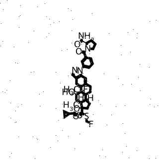 C[C@]12Cc3cnn(-c4cccc(C(=O)N5CCC[C@@H]5C(N)=O)c4)c3C=C1CC[C@H]1[C@@H]3CC[C@](OC(=O)C4CC4)(C(=O)SCF)[C@@]3(C)C[C@H](O)[C@@]12F